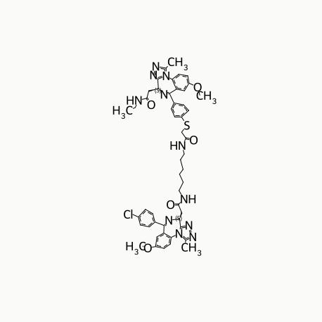 CCNC(=O)C[C@@H]1N=C(c2ccc(SCC(=O)NCCCCCCNC(=O)C[C@@H]3N=C(c4ccc(Cl)cc4)c4cc(OC)ccc4-n4c(C)nnc43)cc2)c2cc(OC)ccc2-n2c(C)nnc21